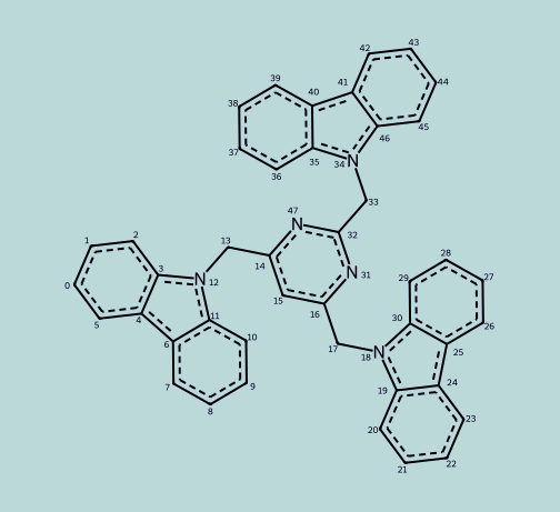 c1ccc2c(c1)c1ccccc1n2Cc1cc(Cn2c3ccccc3c3ccccc32)nc(Cn2c3ccccc3c3ccccc32)n1